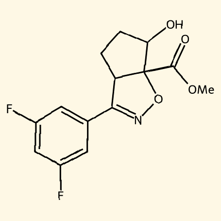 COC(=O)C12ON=C(c3cc(F)cc(F)c3)C1CCC2O